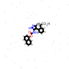 CC(C)(C)c1n[nH]c(NC(=O)Oc2cccc3ccccc23)c1-c1ccccc1CC(=O)O